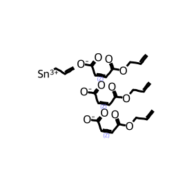 C=CCOC(=O)/C=C\C(=O)[O-].C=CCOC(=O)/C=C\C(=O)[O-].C=CCOC(=O)/C=C\C(=O)[O-].C=C[CH2][Sn+3]